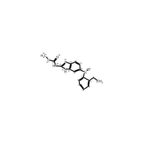 CCc1ccccc1[S+]([O-])c1ccc2nc(NC(=O)OC)[nH]c2c1